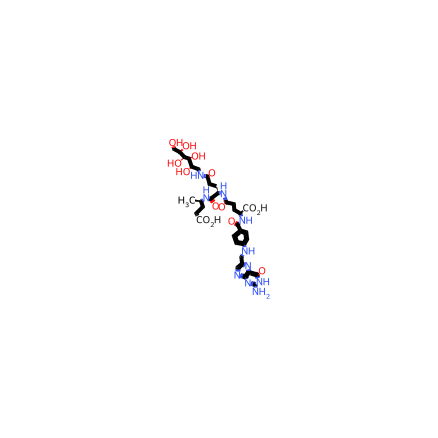 C[C@H](CCC(=O)O)NC(=O)[C@H](CCC(=O)NC[C@H](O)[C@@H](O)[C@H](O)[C@H](O)CO)NC(=O)CC[C@H](NC(=O)c1ccc(NCc2cnc3nc(N)[nH]c(=O)c3n2)cc1)C(=O)O